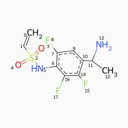 C=CS(=O)(=O)Nc1c(F)cc(C(C)N)c(F)c1F